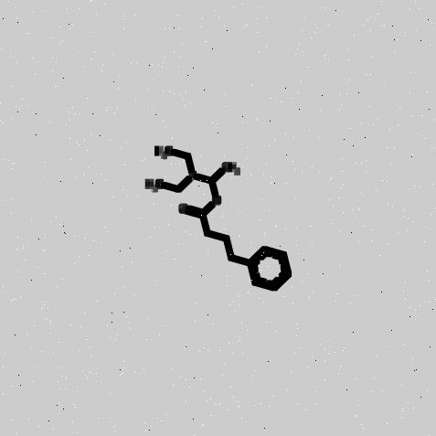 CCP(CC)C(C)OC(=O)CCCc1ccccc1